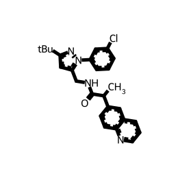 CC(C(=O)NCc1cc(C(C)(C)C)nn1-c1cccc(Cl)c1)c1ccc2ncccc2c1